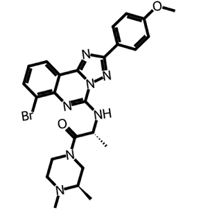 COc1ccc(-c2nc3c4cccc(Br)c4nc(N[C@H](C)C(=O)N4CCN(C)[C@H](C)C4)n3n2)cc1